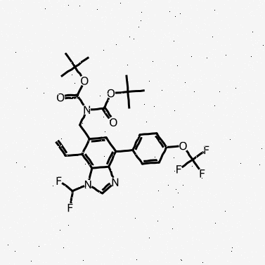 C=Cc1c(CN(C(=O)OC(C)(C)C)C(=O)OC(C)(C)C)cc(-c2ccc(OC(F)(F)F)cc2)c2ncn(C(F)F)c12